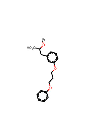 CC(C)OC(Cc1cccc(OCCCOc2ccccc2)c1)C(=O)O